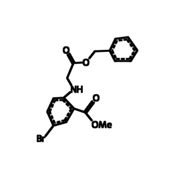 COC(=O)c1cc(Br)ccc1NCC(=O)OCc1ccccc1